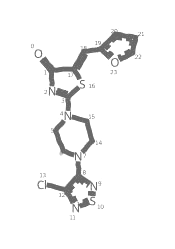 O=C1N=C(N2CCN(c3nsnc3Cl)CC2)S/C1=C\c1ccco1